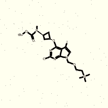 CN(C(=O)OC(C)(C)C)[C@H]1C[C@H](Oc2nc(Cl)nc3c2c(I)cn3COCC[Si](C)(C)C)C1